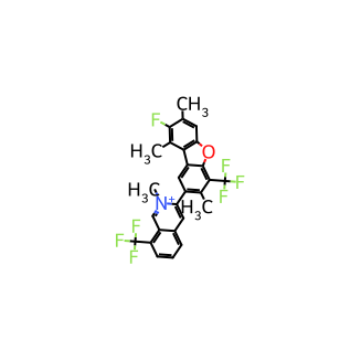 Cc1cc2oc3c(C(F)(F)F)c(C)c(-c4cc5cccc(C(F)(F)F)c5c[n+]4C)cc3c2c(C)c1F